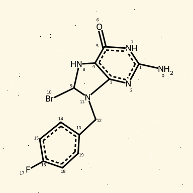 Nc1nc2c(c(=O)[nH]1)NC(Br)N2Cc1ccc(F)cc1